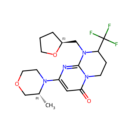 C[C@@H]1COCCN1c1cc(=O)n2c(n1)N(C[C@@H]1CCCO1)C(C(F)(F)F)CC2